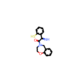 N=C(C(=O)N1CCOc2ccccc2C1)c1ccccc1S